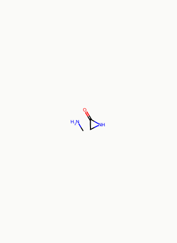 CN.O=C1CN1